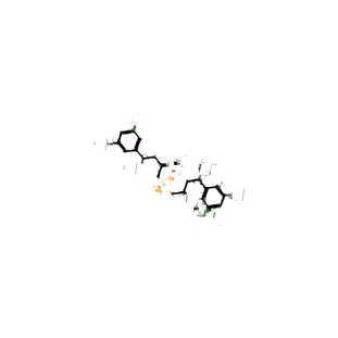 C=C=C(CC(c1cc(Cl)cc(Cl)c1)C(F)(F)F)CS(=O)(=O)CC(=C=C)CC(c1cc(Cl)cc(Cl)c1)C(F)(F)F